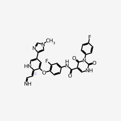 Cn1cnc(C2=CN/C(=C\C=N)C(Oc3ccc(NC(=O)c4c[nH]c(=O)n(-c5ccc(F)cc5)c4=O)cc3F)=C2)c1